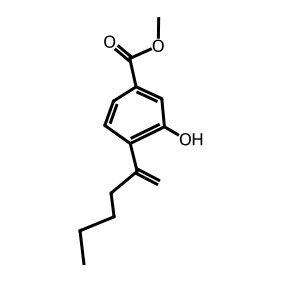 C=C(CCCC)c1ccc(C(=O)OC)cc1O